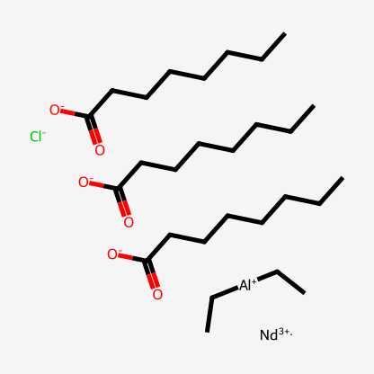 CCCCCCCC(=O)[O-].CCCCCCCC(=O)[O-].CCCCCCCC(=O)[O-].C[CH2][Al+][CH2]C.[Cl-].[Nd+3]